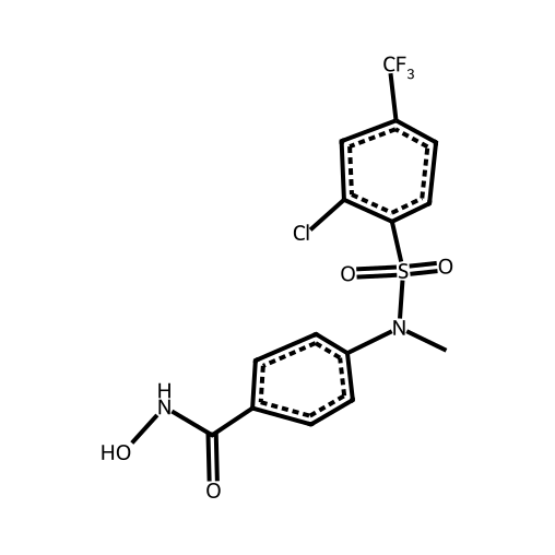 CN(c1ccc(C(=O)NO)cc1)S(=O)(=O)c1ccc(C(F)(F)F)cc1Cl